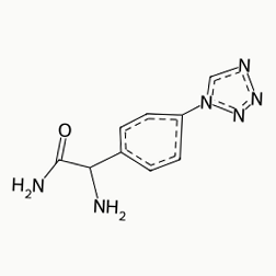 NC(=O)C(N)c1ccc(-n2cnnn2)cc1